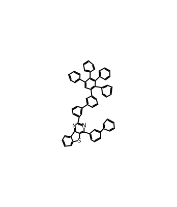 c1ccc(-c2cccc(-c3nc(-c4cccc(-c5cccc(-c6cc(-c7ccccc7)c(-c7ccccc7)c(-c7ccccc7)c6-c6ccccc6)c5)c4)nc4c3sc3ccccc34)c2)cc1